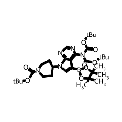 CC(C)(C)OC(=O)N1CCC(n2cc(B3OC(C)(C)C(C)(C)O3)c3c(N(C(=O)OC(C)(C)C)C(=O)OC(C)(C)C)ncnc32)CC1